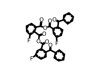 O=C(OC(=O)c1cccc(F)c1C(=O)OC(=O)c1cc(F)ccc1C(=O)c1ccccc1)c1cc(F)ccc1C(=O)c1ccccc1